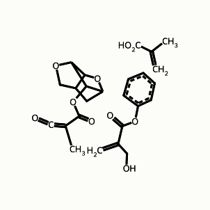 C=C(C)C(=O)O.C=C(CO)C(=O)Oc1ccccc1.CC(=C=O)C(=O)OC1C2CC3COC1C3O2